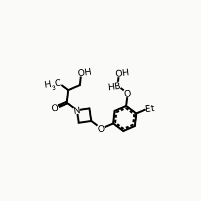 CCc1ccc(OC2CN(C(=O)C(C)CO)C2)cc1OBO